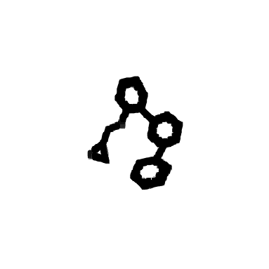 c1ccc(-c2cccc(-c3ccccc3OCC3CO3)c2)cc1